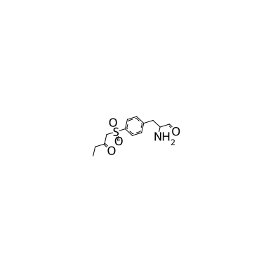 CCC(=O)CS(=O)(=O)c1ccc(CC(N)C=O)cc1